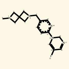 CN1CC2(C1)CN(Cc1ccc(N3C=C(F)C=NC3)nc1)C2